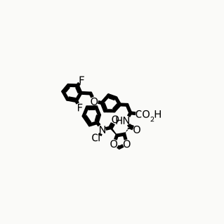 O=C(O)C(Cc1ccc(OCc2c(F)cccc2F)cc1)NC(=O)[C@@H]1OCO[C@H]1C(=O)N(Cl)c1ccccc1